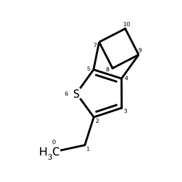 CCc1cc2c(s1)C1CC2C1